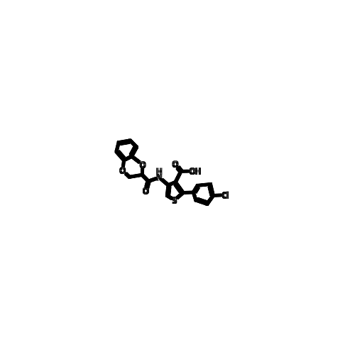 O=C(O)c1c(NC(=O)C2COc3ccccc3O2)csc1-c1ccc(Cl)cc1